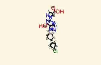 O=C(O)c1cnn(-c2nc(O)c3c(cnn3C[C@H]3CC[C@H](c4ccc(Cl)cc4)CC3)n2)c1